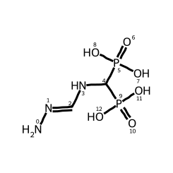 NN=CNC(P(=O)(O)O)P(=O)(O)O